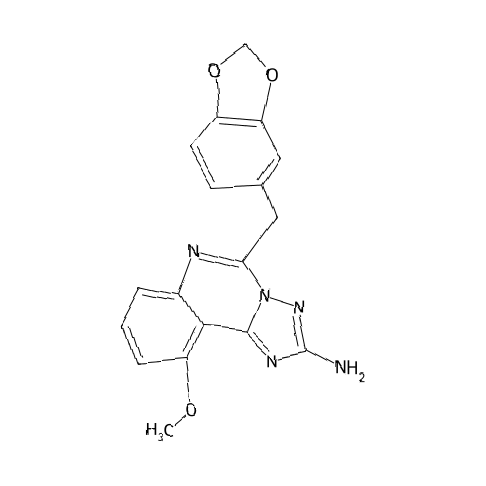 COc1cccc2nc(Cc3ccc4c(c3)OCO4)n3nc(N)nc3c12